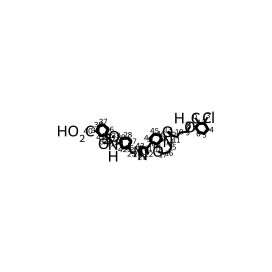 Cc1c(Cl)cccc1OCCCC(=O)N1CCCOc2c(-c3cnn(Cc4cccc(NS(=O)(=O)c5cccc(C(=O)O)c5)c4)c3)cccc21